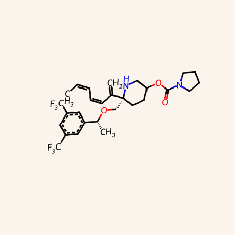 C=C(/C=C\C=C/C)[C@]1(CO[C@H](C)c2cc(C(F)(F)F)cc(C(F)(F)F)c2)CCC(OC(=O)N2CCCC2)CN1